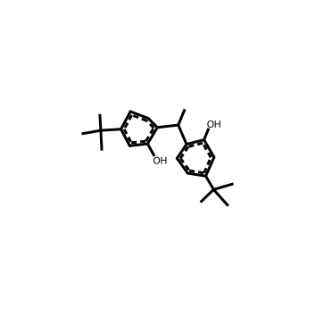 CC(c1ccc(C(C)(C)C)cc1O)c1ccc(C(C)(C)C)cc1O